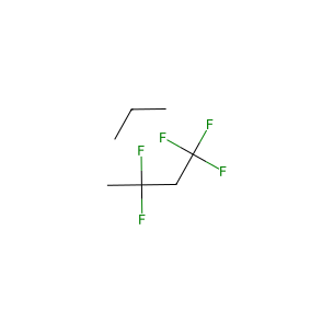 CC(F)(F)CC(F)(F)F.CCC